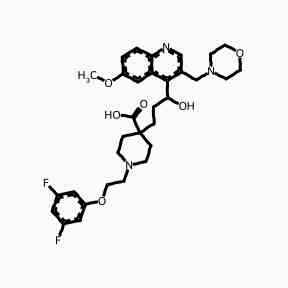 COc1ccc2ncc(CN3CCOCC3)c(C(O)CCC3(C(=O)O)CCN(CCOc4cc(F)cc(F)c4)CC3)c2c1